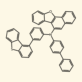 c1ccc(-c2ccc(N(c3cccc(-c4cccc5sc6ccccc6c45)c3)c3cc4ccccc4c4oc5ccccc5c34)cc2)cc1